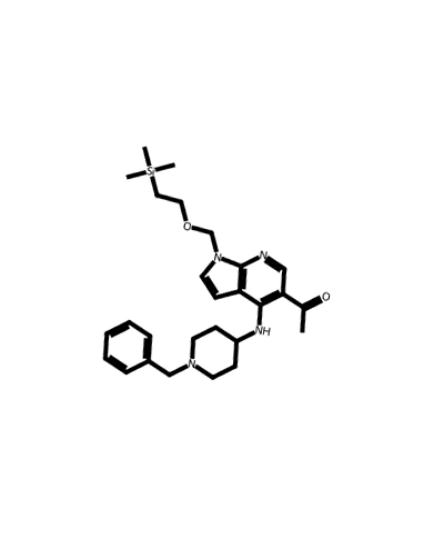 CC(=O)c1cnc2c(ccn2COCC[Si](C)(C)C)c1NC1CCN(Cc2ccccc2)CC1